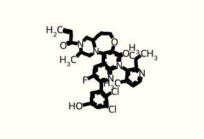 C=CC(=O)N1CC2CCOc3c(c4cc(F)c(-c5cc(O)cc(Cl)c5Cl)nc4n(-c4c(C)ccnc4C(C)C)c3=O)N2CC1C